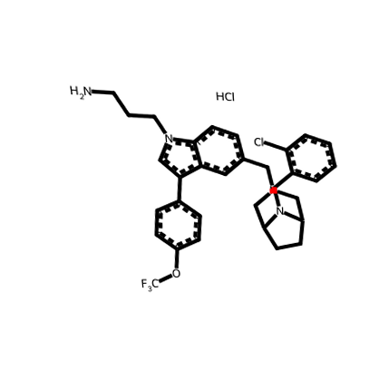 Cl.NCCCn1cc(-c2ccc(OC(F)(F)F)cc2)c2cc(CN3CC4CCC(C3)N4Cc3ccccc3Cl)ccc21